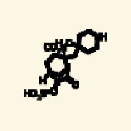 CC1(C[C@]2(C(=O)O)CC[C@@H]3CN2C(=O)N3OS(=O)(=O)O)CCNCC1